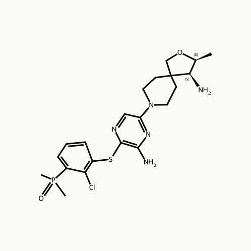 C[C@@H]1OCC2(CCN(c3cnc(Sc4cccc(P(C)(C)=O)c4Cl)c(N)n3)CC2)[C@@H]1N